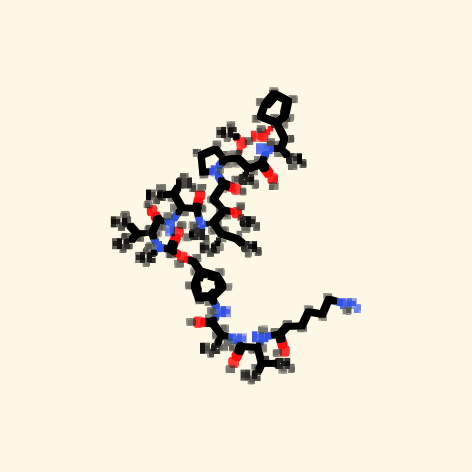 CC[C@H](C)[C@@H]([C@@H](CC(=O)N1CCC[C@H]1[C@H](OC)[C@@H](C)C(=O)N[C@H](C)C[C@]1(O)C=CC=CC1)OC)N(C)C(=O)[C@@H](NC(=O)[C@H](C(C)C)N(C)C(=O)OCc1ccc(NC(=O)[C@H](C)NC(=O)[C@@H](NC(=O)CCCCCN)C(C)C)cc1)C(C)C